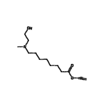 CCCCCCCCCOC(=O)CCCCCCCN(C)CCO